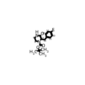 CC(C)(C)OC(=O)N1CCNC(=O)C1Cc1ccc(F)cc1